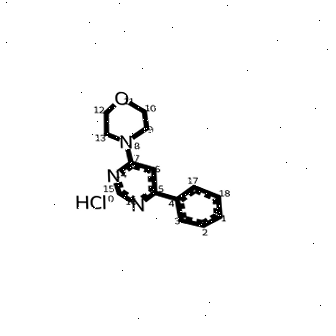 Cl.c1ccc(-c2cc(N3CCOCC3)ncn2)cc1